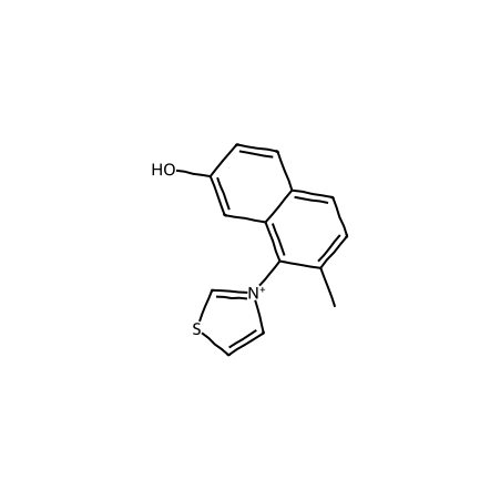 Cc1ccc2ccc(O)cc2c1-[n+]1ccsc1